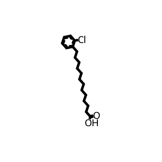 O=C(O)CCCCCCCCCCCCc1ccccc1Cl